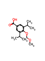 COCOc1c(C(C)C)cc(C(=O)O)cc1C(C)C